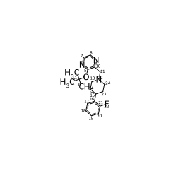 CC(C)(C)Oc1nccnc1CN1CCC(c2ccccc2F)CC1